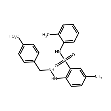 Cc1ccc(NNCc2ccc(C(=O)O)cc2)c(S(=O)(=O)Nc2ccccc2C)c1